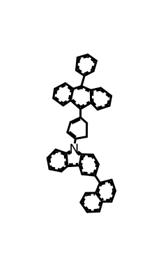 C1=C(c2c3ccccc3c(-c3ccccc3)c3ccccc23)CCC(n2c3ccccc3c3cc(-c4cccc5ccccc45)ccc32)=C1